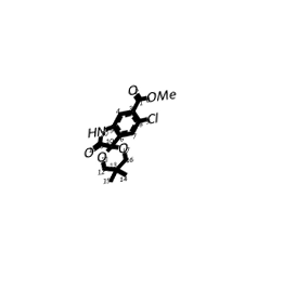 COC(=O)c1cc2c(cc1Cl)C1(OCC(C)(C)CO1)C(=O)N2